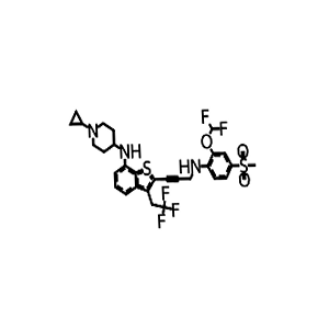 CS(=O)(=O)c1ccc(NCC#Cc2sc3c(NC4CCN(C5CC5)CC4)cccc3c2CC(F)(F)F)c(OC(F)F)c1